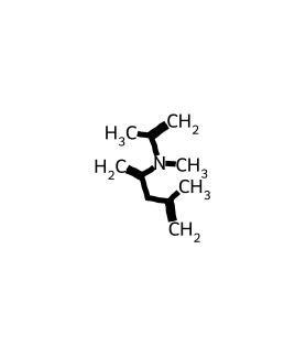 C=C(C)CC(=C)N(C)C(=C)C